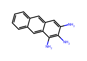 Nc1cc2cc3ccccc3cc2c(N)c1N